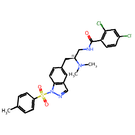 Cc1ccc(S(=O)(=O)n2ncc3cc(C[C@@H](CNC(=O)c4ccc(Cl)cc4Cl)N(C)C)ccc32)cc1